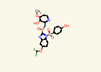 COc1ccnc(C[S+]([O-])c2nc3cc(OC(F)F)ccc3n2S(=O)(=O)c2ccc(O)cc2)c1O